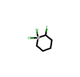 FC1CCCC[Si]1(Cl)Br